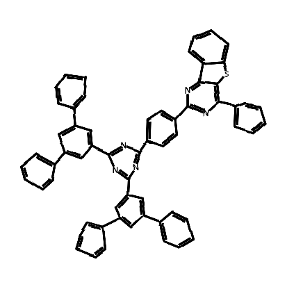 c1ccc(-c2cc(-c3ccccc3)cc(-c3nc(-c4ccc(-c5nc(-c6ccccc6)c6sc7ccccc7c6n5)cc4)nc(-c4cc(-c5ccccc5)cc(-c5ccccc5)c4)n3)c2)cc1